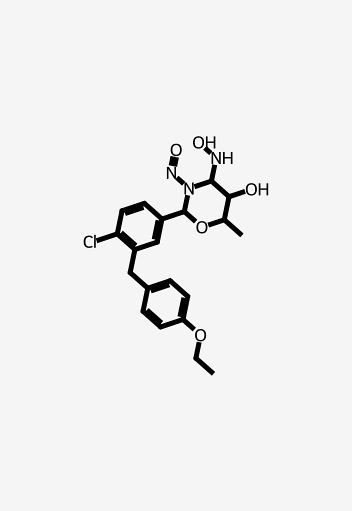 CCOc1ccc(Cc2cc(C3OC(C)C(O)C(NO)N3N=O)ccc2Cl)cc1